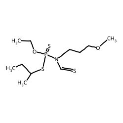 CCOP(=S)(SC(C)CC)N(C=S)CCCOC